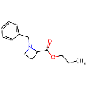 CCCOC(=O)C1CCN1Cc1ccccc1